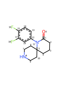 O=C1CCCC2(CCNCC2)N1c1ccc(F)c(F)c1